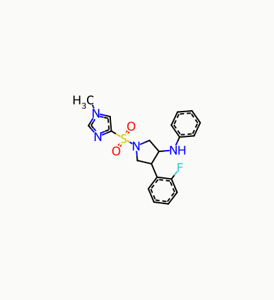 Cn1cnc(S(=O)(=O)N2CC(Nc3ccccc3)C(c3ccccc3F)C2)c1